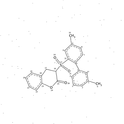 Cc1cccc(-c2ccc(C)cc2S(=O)(=O)C2Cc3ccccc3OC2=O)c1